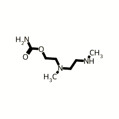 CNCCN(C)CCOC(N)=O